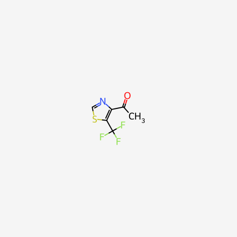 CC(=O)c1ncsc1C(F)(F)F